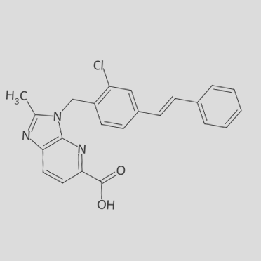 Cc1nc2ccc(C(=O)O)nc2n1Cc1ccc(/C=C/c2ccccc2)cc1Cl